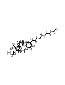 CCCCCCCCCCCc1cccc(-c2nc(C3(C(=N)N)CC3)n[nH]2)c1